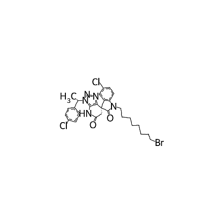 CC(c1ccc(Cl)cc1)n1nnc2c1NC(=O)C[C@]21C(=O)N(CCCCCCCCBr)c2ccc(Cl)cc21